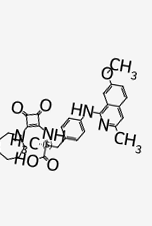 COc1ccc2cc(C)nc(Nc3ccc(C[C@](C)(Nc4c(N5CCCCCC5)c(=O)c4=O)C(=O)O)cc3)c2c1